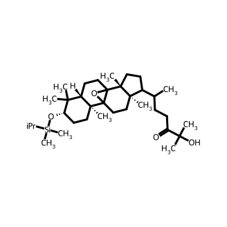 CC(CCC(=O)C(C)(C)O)C1CC[C@@]2(C)C34CC[C@H]5C(C)(C)[C@@H](O[Si](C)(C)C(C)C)CC[C@]5(C)C3(CC[C@]12C)O4